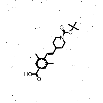 Cc1cc(C(=O)O)cc(C)c1C=CC1CCN(C(=O)OC(C)(C)C)CC1